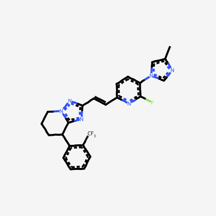 Cc1cn(-c2ccc(C=Cc3nc4n(n3)CCCC4c3ccccc3C(F)(F)F)nc2F)cn1